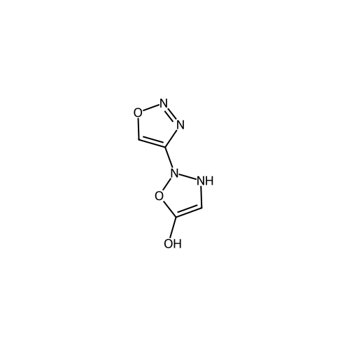 OC1=CNN(c2conn2)O1